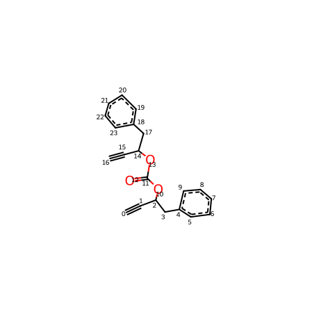 C#CC(Cc1ccccc1)OC(=O)OC(C#C)Cc1ccccc1